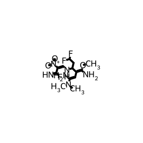 CO/C(N)=C(/C=C(\N)N(C)C)C(CC(F)F)N/C=C(\C(=N)F)[N+](=O)[O-]